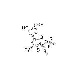 Cc1cn([C@H]2CC(O)[C@@H](CO)O2)c(=O)n(C(C)OS(=O)(=O)F)c1=O